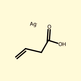 C=CCC(=O)O.[Ag]